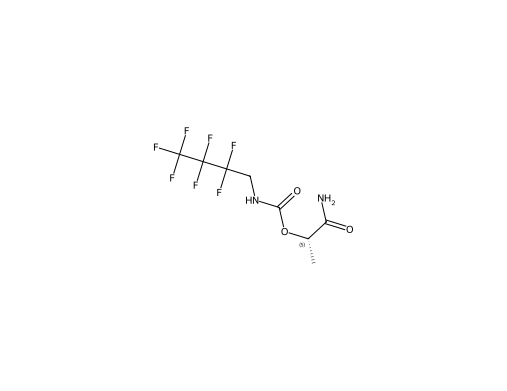 C[C@H](OC(=O)NCC(F)(F)C(F)(F)C(F)(F)F)C(N)=O